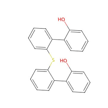 Oc1ccccc1-c1ccccc1Sc1ccccc1-c1ccccc1O